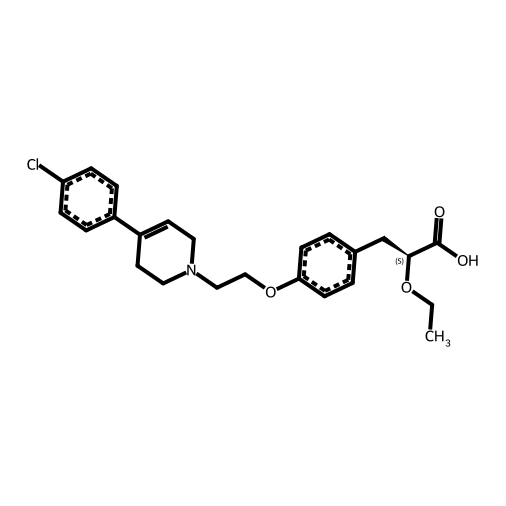 CCO[C@@H](Cc1ccc(OCCN2CC=C(c3ccc(Cl)cc3)CC2)cc1)C(=O)O